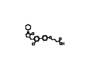 O=C(O)CCCOc1ccc(-c2ccc(CC3CCN(C4CCCCC4)C3=O)c(Cl)c2)cc1